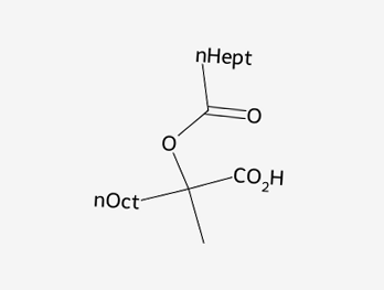 CCCCCCCCC(C)(OC(=O)CCCCCCC)C(=O)O